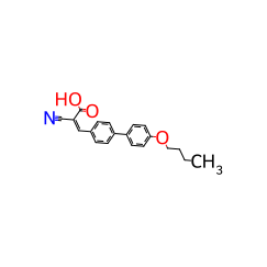 CCCCOc1ccc(-c2ccc(C=C(C#N)C(=O)O)cc2)cc1